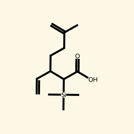 C=CC(CCC(=C)C)C(C(=O)O)[Si](C)(C)C